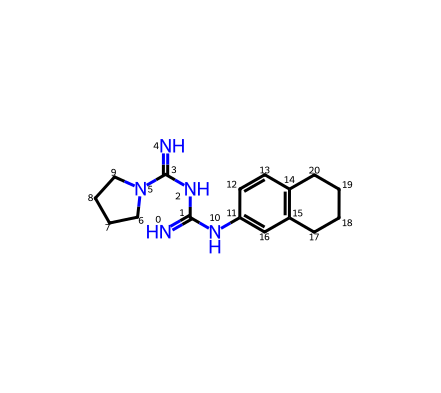 N=C(NC(=N)N1CCCC1)Nc1ccc2c(c1)CCCC2